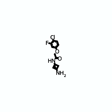 NC12CC(NC(=O)COc3ccc(Cl)c(F)c3)(C1)C2